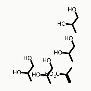 C=C(C)C(=O)O.CC(O)CO.CC(O)CO.CC(O)CO.CC(O)CO